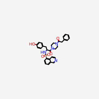 O=C(Cc1ccccc1)N1CCN(C(=O)C(Cc2ccc(O)cc2)NS(=O)(=O)c2cccc3cnccc23)CC1